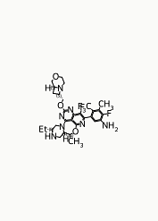 CC[C@@H]1CN2c3nc(OC[C@@H]4C[C@H]5COCCN54)nc4c(F)c(-c5cc(N)c(F)c(C)c5C(F)(F)F)nc(c34)O[C@@H](C)[C@@H]2CN1